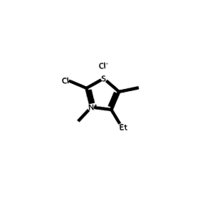 CCc1c(C)sc(Cl)[n+]1C.[Cl-]